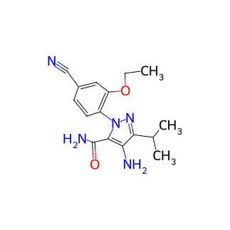 CCOc1cc(C#N)ccc1-n1nc(C(C)C)c(N)c1C(N)=O